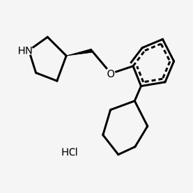 Cl.c1ccc(C2CCCCC2)c(OC[C@H]2CCNC2)c1